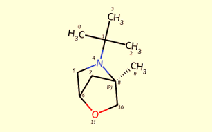 CC(C)(C)N1CC2C[C@]1(C)CO2